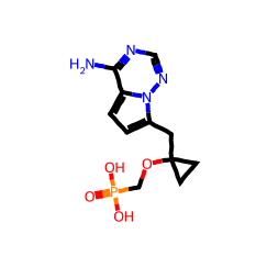 Nc1ncnn2c(CC3(OCP(=O)(O)O)CC3)ccc12